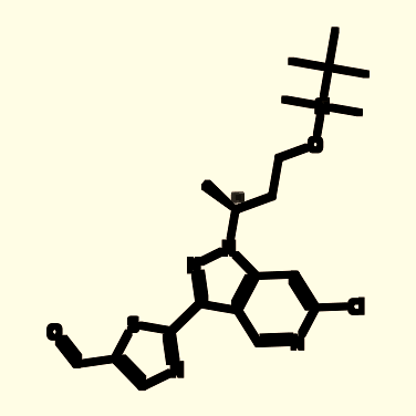 C[C@@H](CCO[Si](C)(C)C(C)(C)C)n1nc(-c2ncc(C=O)s2)c2cnc(Cl)cc21